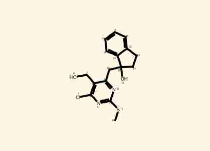 CSc1nc(Cl)c(CO)c(CC2(O)CCc3ccccc32)n1